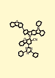 N#Cc1cc(-c2nc(-c3ccccc3)nc(-c3ccccc3)n2)c2c(oc3ccccc32)c1-n1c2ccc(-c3ccc4sc5ccccc5c4c3)cc2c2cc3c(cc21)c1ccccc1n3-c1ccccc1